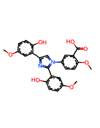 COc1ccc(O)c(-c2cn(-c3ccc(OC)c(C(=O)O)c3)c(-c3cc(OC)ccc3O)n2)c1